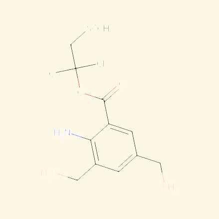 BCc1cc(CB)c(N)c(C(=O)OC(CS(=O)(=O)O)(C(F)(F)F)C(F)(F)F)c1